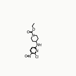 CCOC(=O)N1CCC(Nc2ccc(N=O)c(Cl)n2)CC1